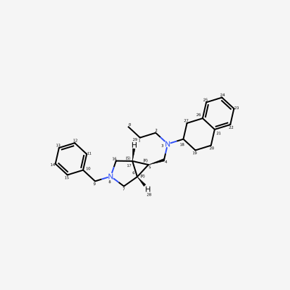 CCCN(C[C@H]1[C@@H]2CN(Cc3ccccc3)C[C@@H]21)C1CCc2ccccc2C1